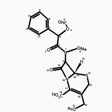 CON(C(=O)C(OC=O)c1ccccc1)C1C(=O)N2C(C(=O)O)=C(COC(C)=O)CS[C@@H]12